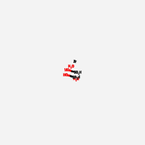 O.O.O=S(=O)(O)O.O=S(=O)(O)O.[Zr]